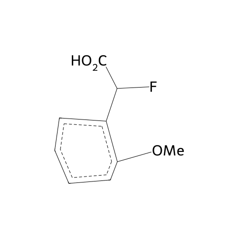 COc1ccccc1C(F)C(=O)O